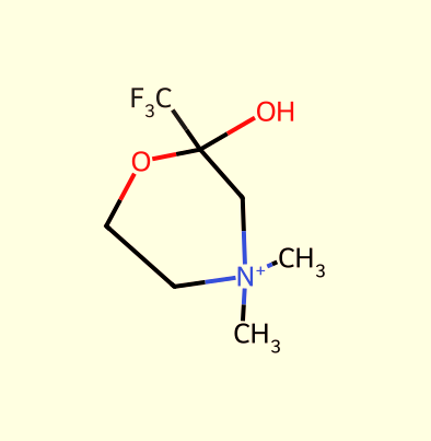 C[N+]1(C)CCOC(O)(C(F)(F)F)C1